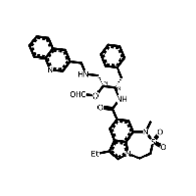 CCc1cn2c3c(cc(C(=O)N[C@@H](Cc4ccccc4)[C@@H](CNCc4cnc5ccccc5c4)OC=O)cc13)N(C)S(=O)(=O)CC2